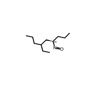 CCCC(CC)C[C@@H](CCC)N=O